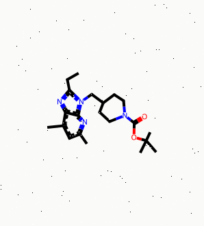 CCc1nc2c(C)cc(C)nc2n1CC1CCN(C(=O)OC(C)(C)C)CC1